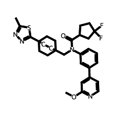 COc1cc(-c2cccc(N(CC34CCC(c5nnc(C)s5)(CC3)CC4)C(=O)C3CCC(F)(F)C3)c2)ccn1